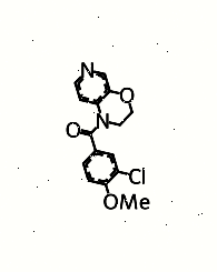 COc1ccc(C(=O)N2CCOc3cnccc32)cc1Cl